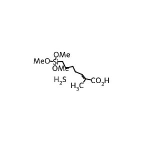 CO[Si](CCCCC=C(C)C(=O)O)(OC)OC.S